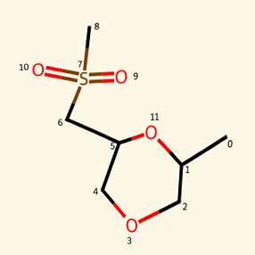 CC1COCC(CS(C)(=O)=O)O1